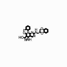 O=c1c2c(O)n[nH]c2c2cnc(NC[C@H]3COc4ccccc4O3)nc2n1-c1ccccc1F